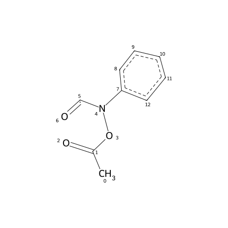 CC(=O)ON([C]=O)c1ccccc1